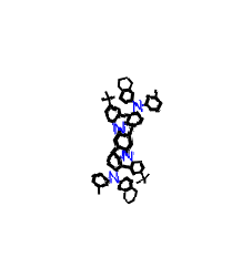 Cc1cccc(N(c2ccc3c(c2)CCCC3)c2ccc3c4cc5c(cc4n4c6ccc(C(C)(C)C)cc6c2c34)c2ccc(N(c3cccc(C)c3)c3ccc4c(c3)CCCC4)c3c4cc(C(C)(C)C)ccc4n5c23)c1